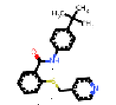 CC(C)(C)c1ccc(NC(=O)c2ccccc2SCc2ccncc2)cc1